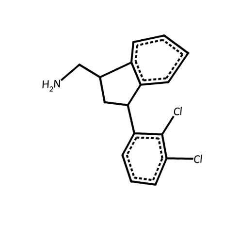 NCC1CC(c2cccc(Cl)c2Cl)c2ccccc21